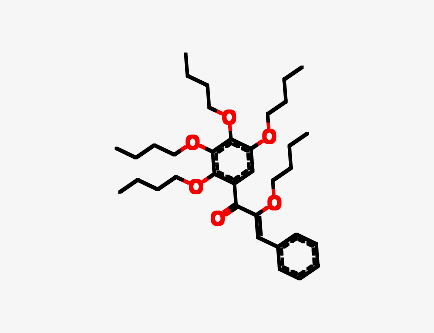 CCCCOC(=Cc1ccccc1)C(=O)c1cc(OCCCC)c(OCCCC)c(OCCCC)c1OCCCC